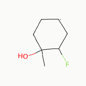 CC1(O)CC[CH]CC1F